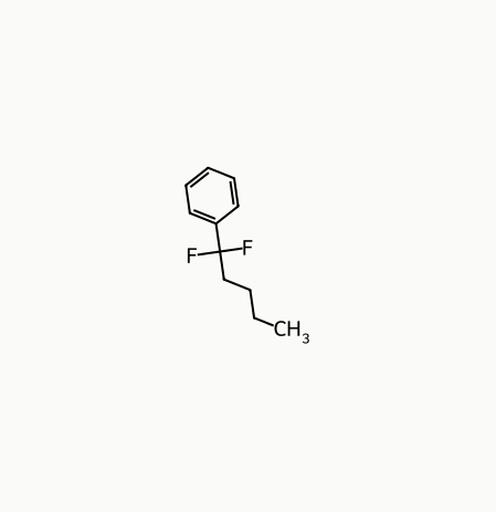 CCCCC(F)(F)c1ccccc1